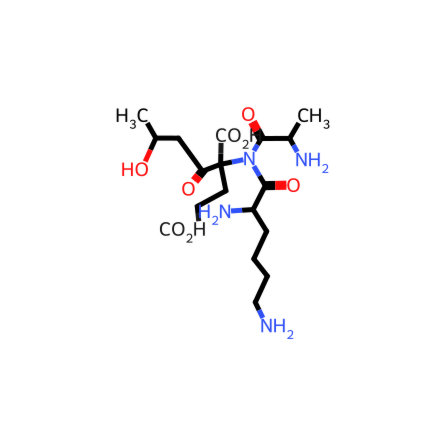 CC(O)CC(=O)C(CCC(=O)O)(C(=O)O)N(C(=O)C(C)N)C(=O)C(N)CCCCN